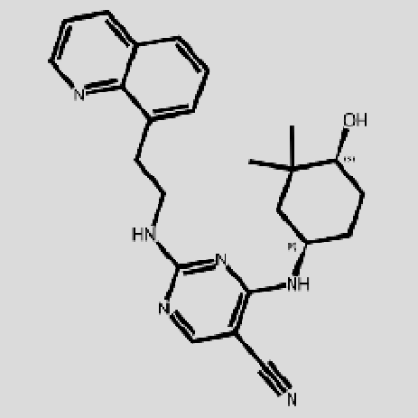 CC1(C)C[C@H](Nc2nc(NCCc3cccc4cccnc34)ncc2C#N)CC[C@@H]1O